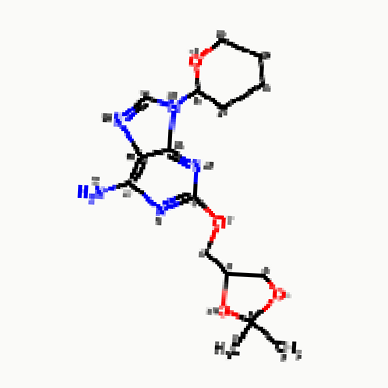 CC1(C)OCC(COc2nc(N)c3ncn(C4CCCCO4)c3n2)O1